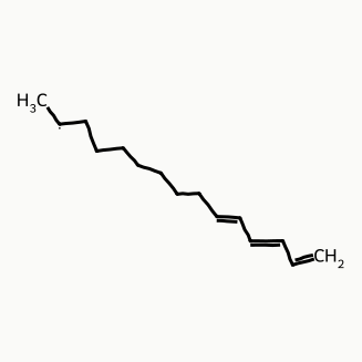 C=CC=CC=CCCCCCCC[CH]C